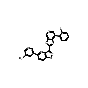 Nc1cncc(-c2ccc3[nH]nc(-c4nc5c(-c6ccccc6F)cncc5[nH]4)c3n2)c1